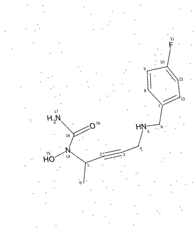 CC(C#CCNCc1ccc(F)cc1)N(O)C(N)=O